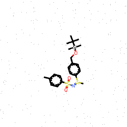 Cc1ccc(S(=O)(=O)N=S(C)c2ccc(CO[Si](C)(C)C(C)(C)C)cc2)cc1